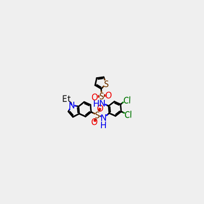 CCn1ccc2cc(S(=O)(=O)Nc3cc(Cl)c(Cl)cc3NS(=O)(=O)c3cccs3)ccc21